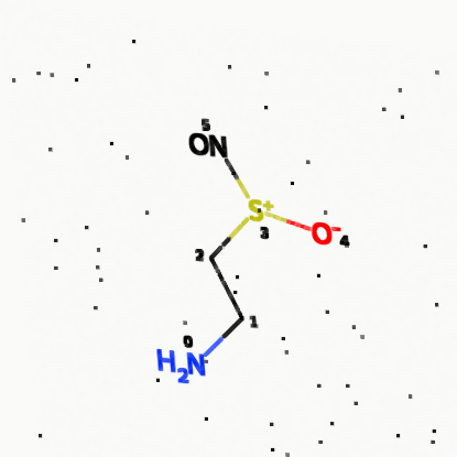 NCC[S+]([O-])N=O